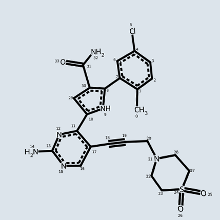 Cc1ccc(Cl)cc1-c1[nH]c(-c2nc(N)ncc2C#CCN2CCS(=O)(=O)CC2)cc1C(N)=O